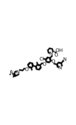 Cc1c(COc2cc(OCc3cncc(C#N)c3)c(CN3CCCC[C@H]3C(=O)O)cc2Cl)cccc1-c1cccc(OCCCN2CC3C[C@]3(N(C)C)C2)c1C